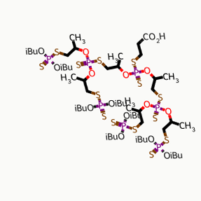 CC(C)COP(=S)(OCC(C)C)SCC(C)OP(=S)(OC(C)CSP(=S)(OCC(C)C)OCC(C)C)SCC(C)OP(=S)(OC(C)CSP(=S)(OC(C)CSP(=S)(OCC(C)C)OCC(C)C)OC(C)CSP(=S)(OCC(C)C)OCC(C)C)SCCC(=O)O